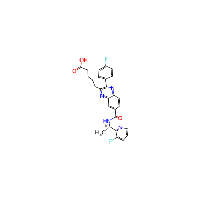 C[C@H](NC(=O)c1ccc2nc(-c3ccc(F)cc3)c(CCCCC(=O)O)nc2c1)c1ncccc1F